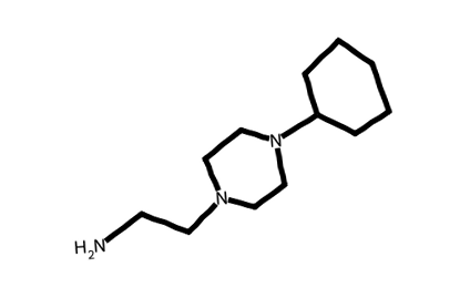 NCCN1CCN(C2CCCCC2)CC1